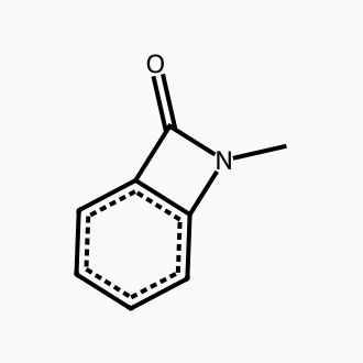 CN1C(=O)c2ccccc21